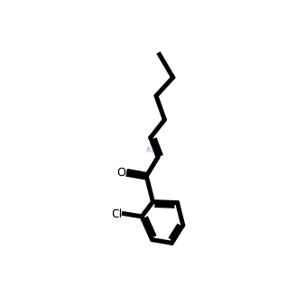 CCCC/C=C/C(=O)c1ccccc1Cl